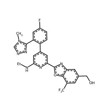 CCNc1cc(-c2ccc(F)cc2-c2nncn2C)cc(-c2nc3cc(CO)cc(C(F)(F)F)c3o2)n1